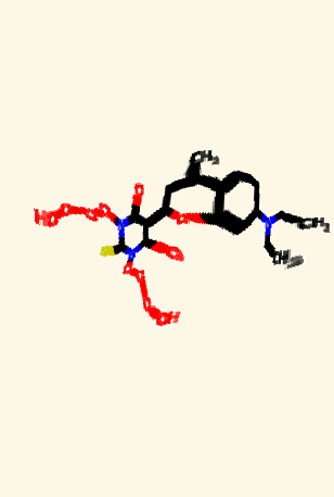 CCN(CC)C1C=C2OC(=C3C(=O)N(OOOO)C(=S)N(OOOO)C3=O)C=C(C)C2=CC1